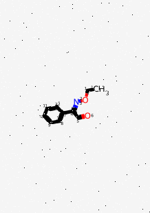 CCON=C([C]=O)c1ccccc1